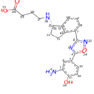 Nc1cc(-c2nc(-c3cccc4c3CC[C@@H]4NCCCC(=O)O)no2)ccc1O